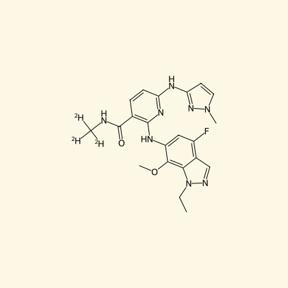 [2H]C([2H])([2H])NC(=O)c1ccc(Nc2ccn(C)n2)nc1Nc1cc(F)c2cnn(CC)c2c1OC